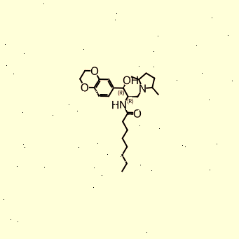 CCCCCCCC(=O)N[C@H](CN1C(C)CCC1C)[C@H](O)c1ccc2c(c1)OCCO2